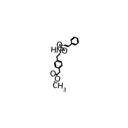 CCOC(=O)Cc1ccc(CCNS(=O)(=O)C=Cc2ccccc2)cc1